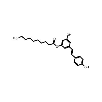 CCCCCCCCCC(=O)Oc1cc(O)cc(C=Cc2ccc(O)cc2)c1